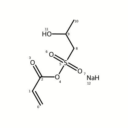 C=CC(=O)OS(=O)(=O)CC(C)O.[NaH]